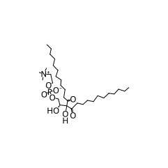 CCCCCCCCCCCC(=O)C(O)(C(=O)CCCCCCCCCCC)[C@@H](O)COP(=O)([O-])OCC[N+](C)(C)C